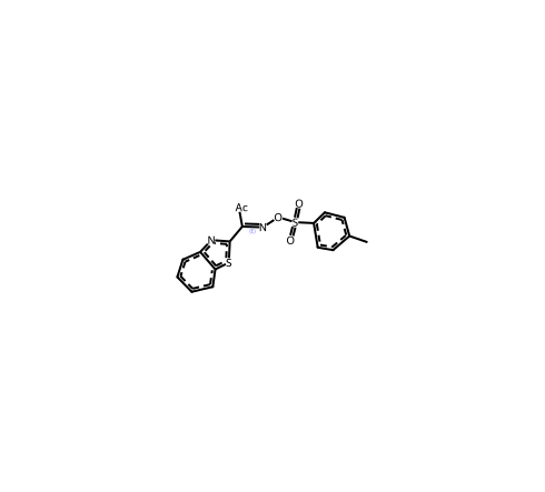 CC(=O)/C(=N\OS(=O)(=O)c1ccc(C)cc1)c1nc2ccccc2s1